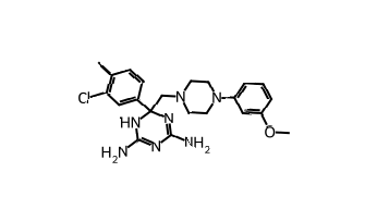 COc1cccc(N2CCN(CC3(c4ccc(C)c(Cl)c4)N=C(N)N=C(N)N3)CC2)c1